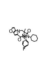 CC1(C(=O)NC2CCCCCC2)Cn2c(cc3occc32)C(=O)N1Cc1ccc(F)cc1